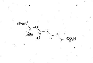 CCCCCC(CCCC)OC(=O)CCCCC(=O)O